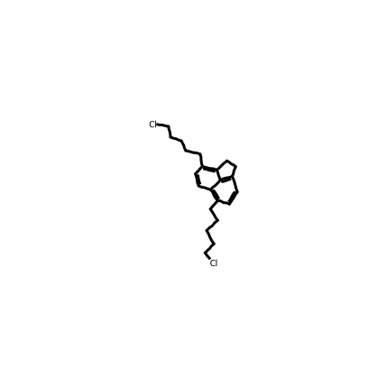 ClCCCCCc1ccc2c(CCCCCCl)ccc3c2c1CC3